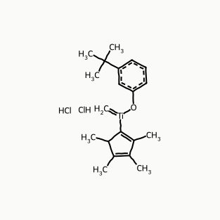 Cl.Cl.[CH2]=[Ti]([O]c1cccc(C(C)(C)C)c1)[C]1=C(C)C(C)=C(C)C1C